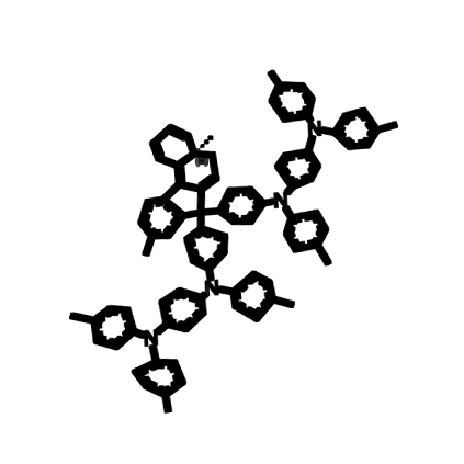 Cc1ccc(N(c2ccc(C)cc2)c2ccc(N(c3ccc(C)cc3)c3ccc(C4(c5ccc(N(c6ccc(C)cc6)c6ccc(N(c7ccc(C)cc7)c7ccc(C)cc7)cc6)cc5)C5=CC[C@]6(C)C=CC=CC6=C5c5ccc(C)cc54)cc3)cc2)cc1